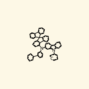 c1ccc(-c2cccc(N(c3ccc4c5ccccc5n(-c5ccccc5)c4c3)c3cccc4c3-c3ccccc3C43c4ccccc4-c4ccccc43)c2)cc1